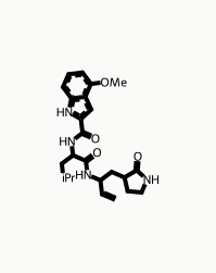 C=CC(CC1CCNC1=O)NC(=O)C(CC(C)C)NC(=O)c1cc2c(OC)cccc2[nH]1